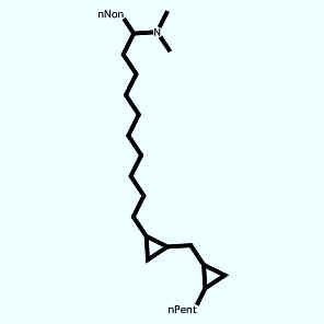 CCCCCCCCCC(CCCCCCCCCC1CC1CC1CC1CCCCC)N(C)C